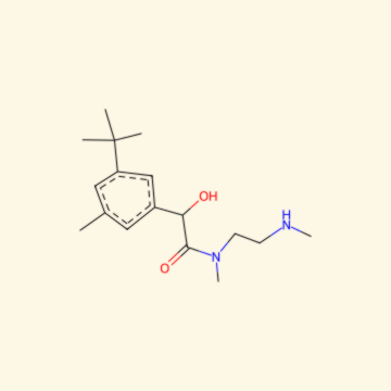 CNCCN(C)C(=O)C(O)c1cc(C)cc(C(C)(C)C)c1